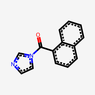 O=C(c1cccc2ccccc12)n1ccnc1